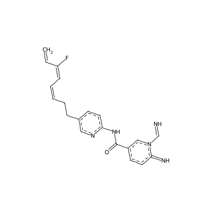 C=C/C(F)=C\C=C/CCc1ccc(NC(=O)c2ccc(=N)n(C=N)c2)nc1